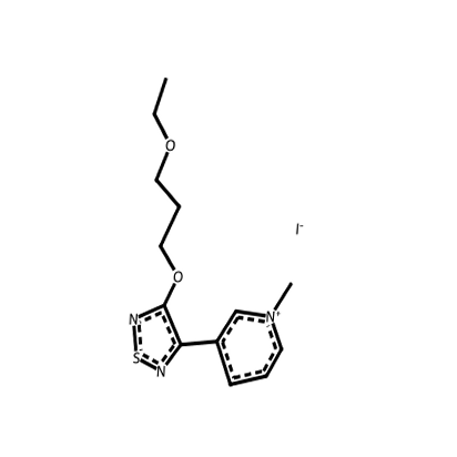 CCOCCCOc1nsnc1-c1ccc[n+](C)c1.[I-]